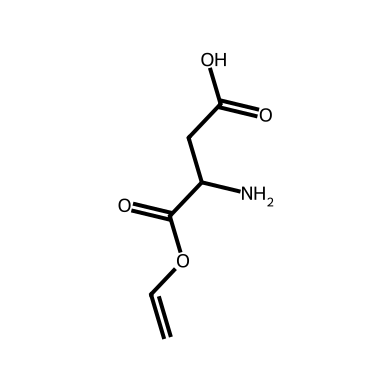 C=COC(=O)C(N)CC(=O)O